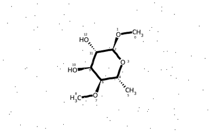 CO[C@H]1O[C@H](C)[C@@H](OC)[C@@H](O)[C@@H]1O